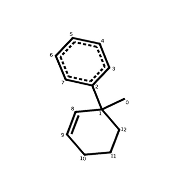 CC1(c2ccccc2)C=CCCC1